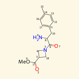 COC(=O)C1CN(C(=O)C(N)Cc2ccc(C)cc2)C1